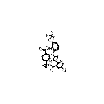 O=C(O)c1ccc(C2(NC(=O)c3cc(Cl)cnc3N3CC(Oc4cccc(OC(F)(F)F)c4)C3)CC2)cc1